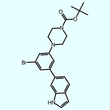 CC(C)(C)OC(=O)N1CCN(c2cc(Br)cc(-c3ccc4cc[nH]c4c3)c2)CC1